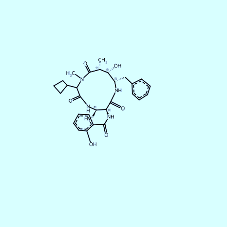 C[C@H]1NC(=O)C(C2CCC2)N(C)C(=O)[C@H](C)[C@H](O)[C@H](Cc2ccccc2)NC(=O)[C@H]1NC(=O)c1ccccc1O